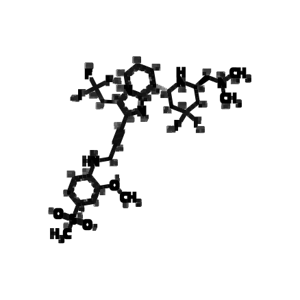 COc1cc(S(C)(=O)=O)ccc1NCC#Cc1nc2c([C@H]3CC(F)(F)C[C@H](CN(C)C)N3)cccn2c1CC(F)(F)F